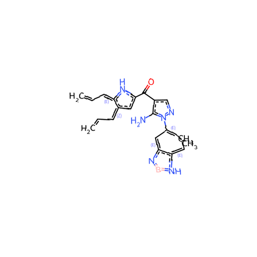 C=C/C=c1/cc(C(=O)c2cnn(C(=C/C)/C=c3/nb[nH]/c3=C/C)c2N)[nH]/c1=C/C=C